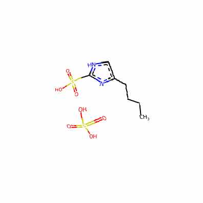 CCCCc1c[nH]c(S(=O)(=O)O)n1.O=S(=O)(O)O